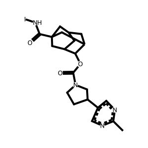 Cc1ncc(C2CCN(C(=O)OC3C4CC5CC3CC(C(=O)NI)(C5)C4)C2)cn1